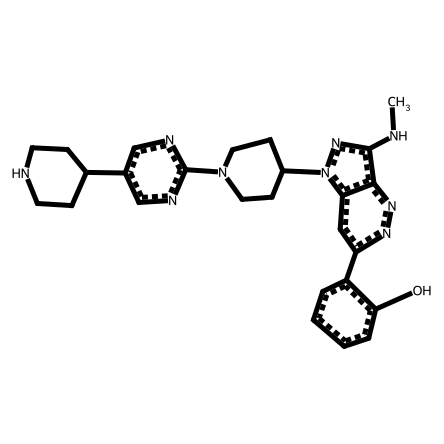 CNc1nn(C2CCN(c3ncc(C4CCNCC4)cn3)CC2)c2cc(-c3ccccc3O)nnc12